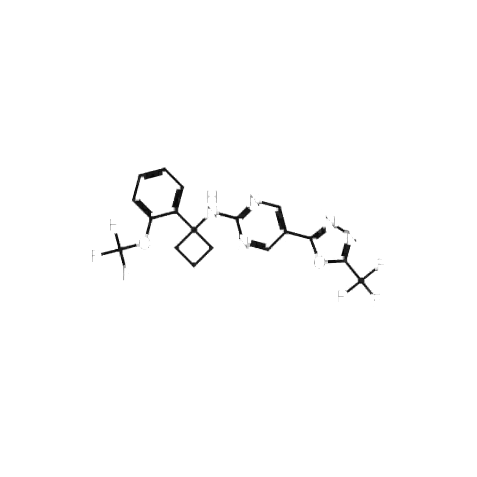 FC(F)(F)Oc1ccccc1C1(Nc2ncc(-c3nnc(C(F)(F)F)o3)cn2)CCC1